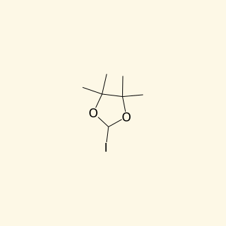 CC1(C)OC(I)OC1(C)C